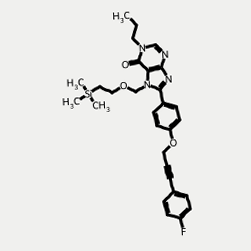 CCCn1cnc2nc(-c3ccc(OCC#Cc4ccc(F)cc4)cc3)n(COCC[Si](C)(C)C)c2c1=O